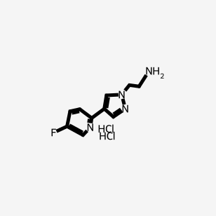 Cl.Cl.NCCn1cc(-c2ccc(F)cn2)cn1